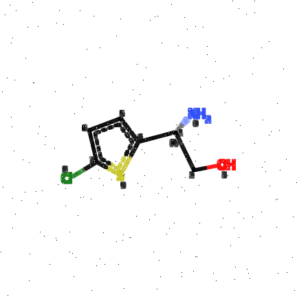 N[C@H](CO)c1ccc(Cl)s1